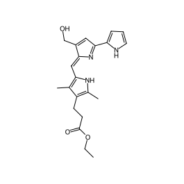 CCOC(=O)CCc1c(C)[nH]c(/C=C2\N=C(c3ccc[nH]3)C=C2CO)c1C